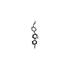 CCCC1CCC(c2ccc(-c3ccc(F)cc3)nc2)CC1